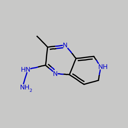 Cc1nc2c(nc1NN)=CCNC=2